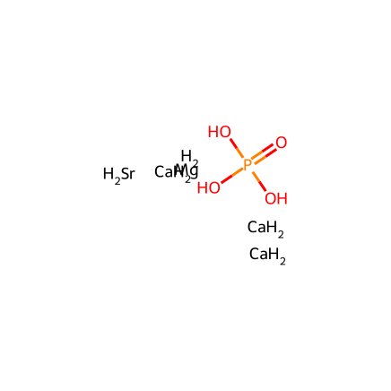 O=P(O)(O)O.[CaH2].[CaH2].[CaH2].[MgH2].[SrH2]